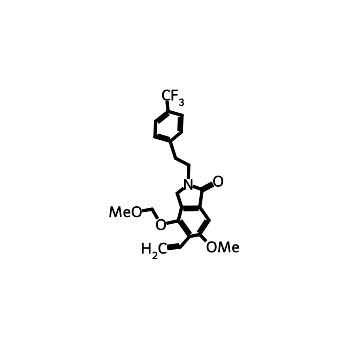 C=Cc1c(OC)cc2c(c1OCOC)CN(CCc1ccc(C(F)(F)F)cc1)C2=O